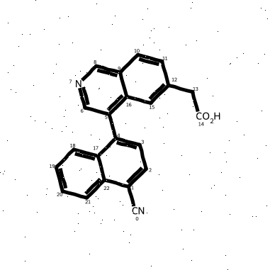 N#Cc1ccc(-c2cncc3ccc(CC(=O)O)cc23)c2ccccc12